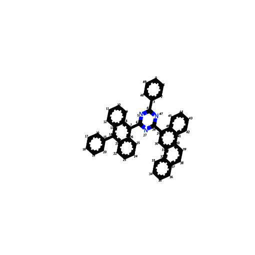 c1ccc(-c2nc(-c3c4ccccc4c(-c4ccccc4)c4ccccc34)nc(-c3cc4c5ccccc5ccc4c4ccccc34)n2)cc1